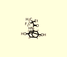 CCC(C)(C(=O)NC12CC3CC(O)(CC(O)(C3)C1)C2)C(F)(F)F